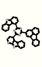 c1ccc2c(c1)-c1cccc3cc(-c4nc(-c5cccc6oc7ccccc7c56)nc(-c5ccnc6oc7ccccc7c56)n4)cc-2c13